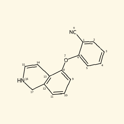 N#Cc1ccccc1Oc1cccc2c1C=CNC2